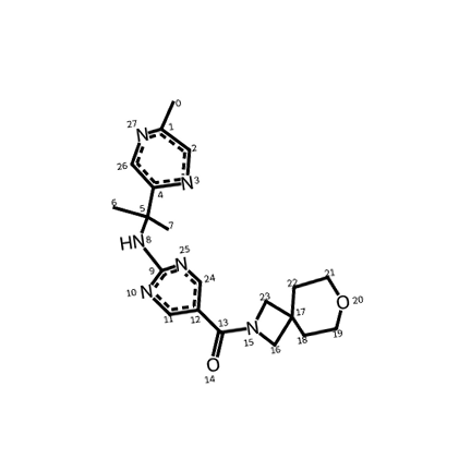 Cc1cnc(C(C)(C)Nc2ncc(C(=O)N3CC4(CCOCC4)C3)cn2)cn1